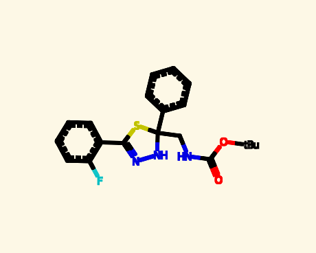 CC(C)(C)OC(=O)NCC1(c2ccccc2)NN=C(c2ccccc2F)S1